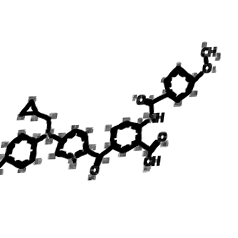 COc1ccc(C(=O)Nc2ccc(C(=O)c3ccc(N(CC4CC4)c4ccc(Cl)cc4)cn3)cc2C(=O)O)cc1